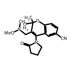 CON(C)CC1=C(N2CCCC2=O)c2cc(C#N)ccc2OC1(C)C